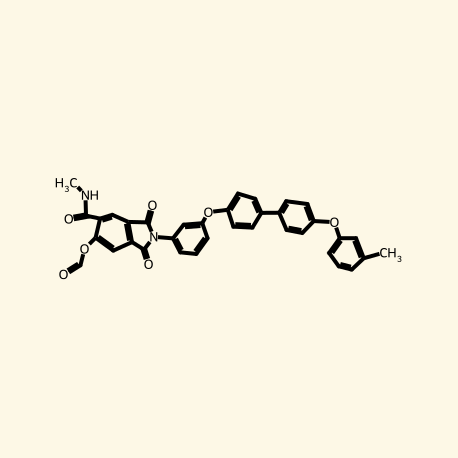 CNC(=O)c1cc2c(cc1OC=O)C(=O)N(c1cccc(Oc3ccc(-c4ccc(Oc5cccc(C)c5)cc4)cc3)c1)C2=O